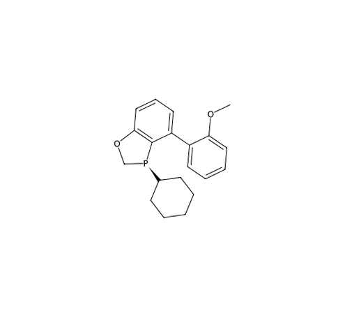 COc1ccccc1-c1cccc2c1[P@@](C1CCCCC1)CO2